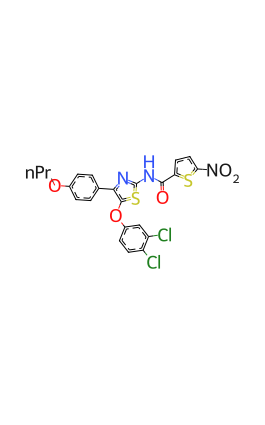 CCCOc1ccc(-c2nc(NC(=O)c3ccc([N+](=O)[O-])s3)sc2Oc2ccc(Cl)c(Cl)c2)cc1